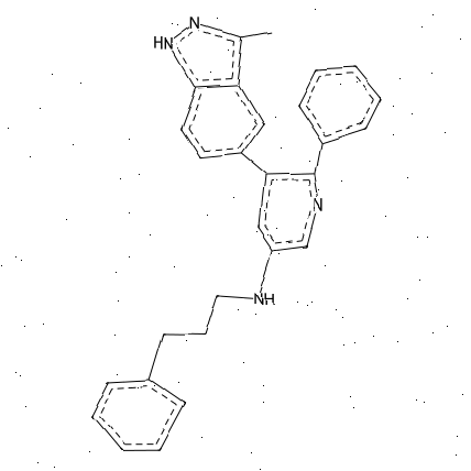 Cc1n[nH]c2ccc(-c3cc(NCCCc4ccccc4)cnc3-c3ccccc3)cc12